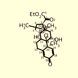 CCOC(=O)C(=O)[C@@]12CC[C@@]3(OC(C)O1)[C@@H]1CCC4=CC(=O)C=C[C@]4(C)[C@@]1(Cl)[C@@H](O)C[C@]23C